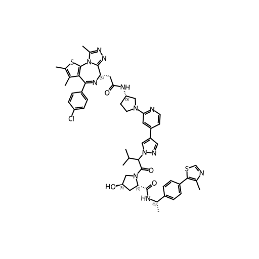 Cc1ncsc1-c1ccc([C@H](C)NC(=O)[C@@H]2C[C@@H](O)CN2C(=O)C(C(C)C)n2cc(-c3ccnc(N4CC[C@H](NC(=O)C[C@@H]5N=C(c6ccc(Cl)cc6)c6c(sc(C)c6C)-n6c(C)nnc65)C4)c3)cn2)cc1